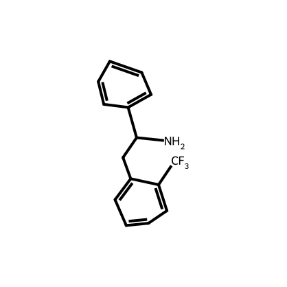 NC(Cc1ccccc1C(F)(F)F)c1ccccc1